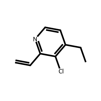 C=Cc1nccc(CC)c1Cl